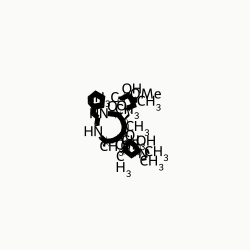 CO[C@]1(C)C[C@H](C[C@H]2[C@H](C)[C@@H](O[C@@H]3O[C@H](C)C[C@H](N(C)C)[C@H]3O)[C@](C)(O)C[C@@H](C)CNCC(Cc3ccccc3)NC(=O)[C@@H]2C)O[C@@H](C)[C@@H]1O